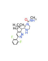 CNC(=O)N1CCN[C@H]([C@@]23CC[C@@H](c4cc(-c5c(F)cccc5F)nnc42)C3(C)C)C1